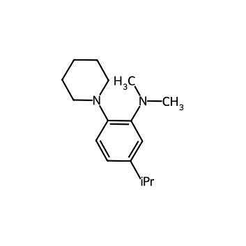 CC(C)c1ccc(N2CCCCC2)c(N(C)C)c1